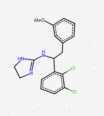 COc1cccc(CC(NC2=NCCN2)c2cccc(Cl)c2Cl)c1